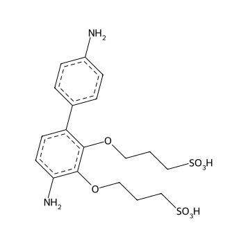 Nc1ccc(-c2ccc(N)c(OCCCS(=O)(=O)O)c2OCCCS(=O)(=O)O)cc1